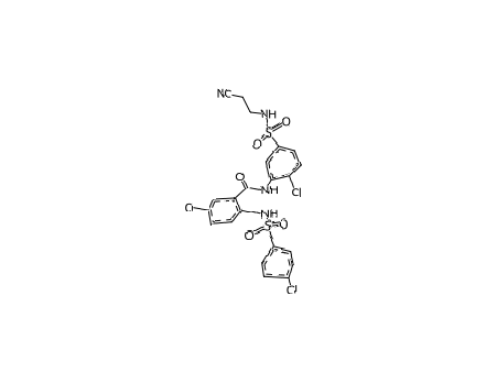 N#CCCNS(=O)(=O)c1ccc(Cl)c(NC(=O)c2cc(Cl)ccc2NS(=O)(=O)c2ccc(Cl)cc2)c1